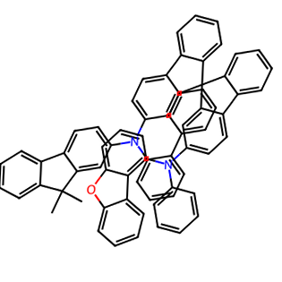 CC1(C)c2ccccc2-c2ccc(N(c3ccc4c(c3)C3(c5ccccc5-4)c4ccccc4-c4ccc(N(c5ccccc5)c5cccc6oc7ccccc7c56)cc43)c3ccccc3-c3ccccc3)cc21